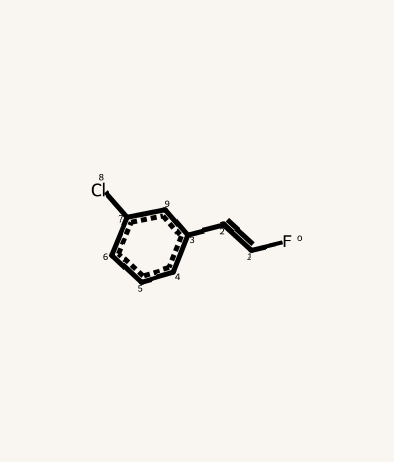 F[C]=Cc1cccc(Cl)c1